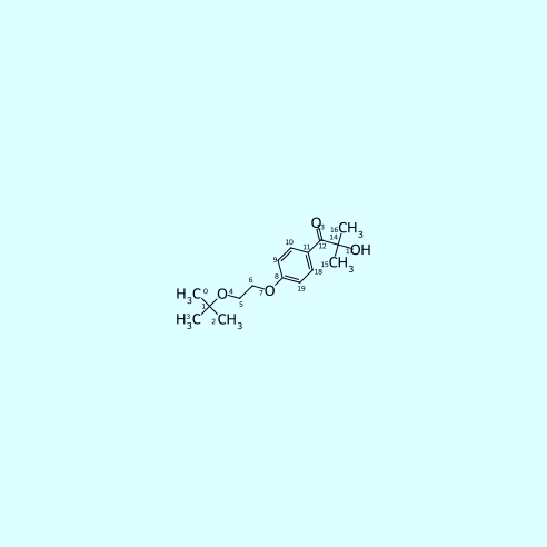 CC(C)(C)OCCOc1ccc(C(=O)C(C)(C)O)cc1